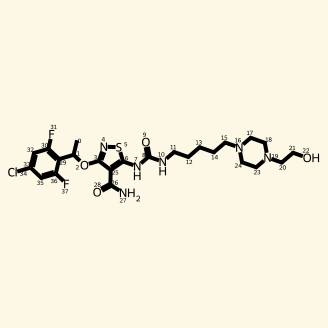 CC(Oc1nsc(NC(=O)NCCCCCN2CCN(CCO)CC2)c1C(N)=O)c1c(F)cc(Cl)cc1F